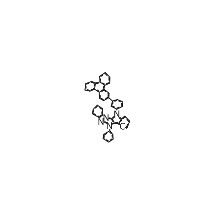 c1ccc(-n2c3c4ccccc4n(-c4cccc(-c5ccc6c7ccccc7c7ccccc7c6c5)c4)c3n3c4ccccc4nc23)cc1